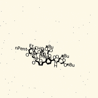 CCCCC[C@@H](C(=O)NCNC(=O)c1ccc(-c2ccc(C(=O)N[C@@H](CC(=O)OCCCC)C(=O)OCCCC)c(OCC(=O)OCCCC)c2)o1)[C@@H](CC)N(C=O)OCOP(=O)(O)OCCCC